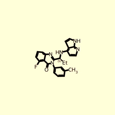 CC[C@H](Nc1ccnc2[nH]ccc12)c1nc2cccc(F)c2c(=O)n1-c1cccc(C)c1